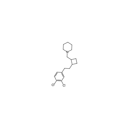 Clc1ccc(CCC2CCC2CN2CCCCC2)cc1Cl